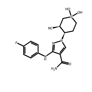 N#C[C@H]1CS(O)(O)CC[C@H]1n1cc(C(N)=O)c(Nc2ccc(F)cc2)n1